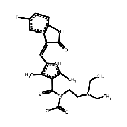 CCN(CC)CCN(C(=O)Cl)C(=O)c1c(C)[nH]c(C=C2C(=O)Nc3ccc(F)cc32)c1C